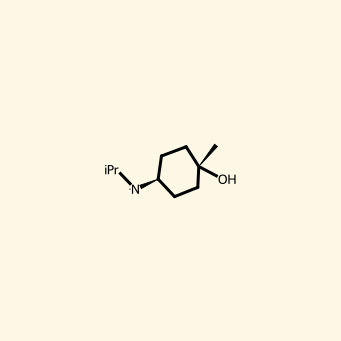 CC(C)[N][C@H]1CC[C@](C)(O)CC1